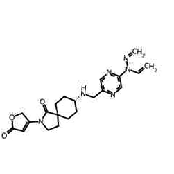 C=CN(N=C)c1cnc(CN[C@H]2CC[C@]3(CCN(C4=CC(=O)OC4)C3=O)CC2)cn1